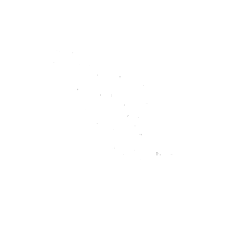 Cc1ccc(C2(c3ccccc3)c3cc(-c4ccc5ccccc5c4)ccc3-c3ccc(-c4ccccn4)cc32)cc1